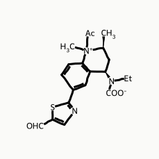 CCN(C(=O)[O-])[C@@H]1C[C@H](C)[N+](C)(C(C)=O)c2ccc(-c3ncc(C=O)s3)cc21